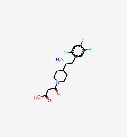 N[C@H](Cc1cc(F)c(F)cc1F)C1CCN(C(=O)CC(=O)O)CC1